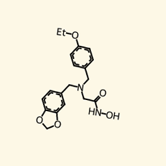 CCOc1ccc(CN(CC(=O)NO)Cc2ccc3c(c2)OCO3)cc1